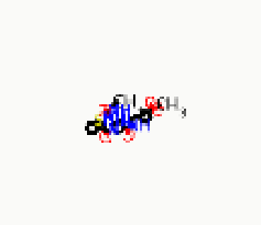 CCNC(=O)Nc1sc2ccccc2c1C(=O)N1CCC2(CC1)N=C(Cc1cccc(C(=O)OC)c1)NC2=O